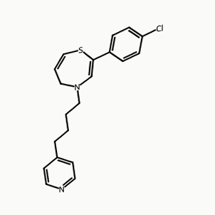 Clc1ccc(C2=CN(CCCCc3ccncc3)CC=CS2)cc1